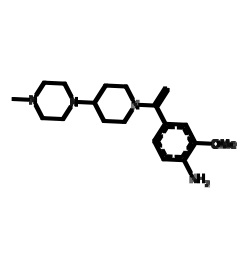 C=C(c1ccc(N)c(OC)c1)N1CCC(N2CCN(C)CC2)CC1